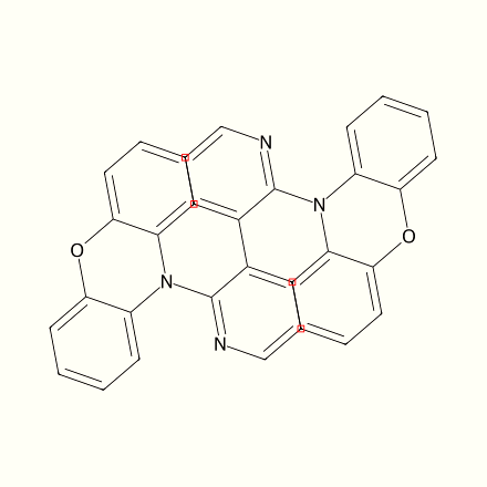 c1ccc2c(c1)Oc1ccccc1N2c1ncccc1-c1cccnc1N1c2ccccc2Oc2ccccc21